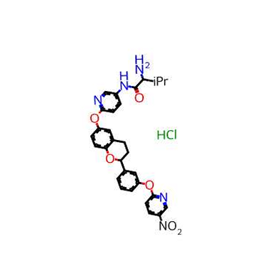 CC(C)C(N)C(=O)Nc1ccc(Oc2ccc3c(c2)CCC(c2cccc(Oc4ccc([N+](=O)[O-])cn4)c2)O3)nc1.Cl